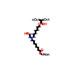 CCCCCCCCCOC(=O)CCCCCCCN(CCO)CCCCCCCOC(O)C(CCCCCCCC)CCCCCCCC